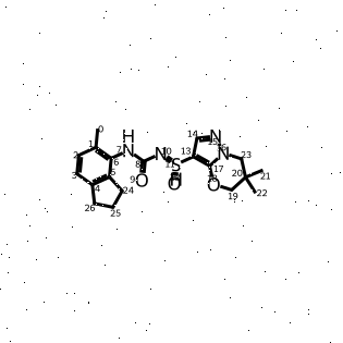 Cc1ccc2c(c1NC(=O)N=[SH](=O)c1cnn3c1OCC(C)(C)C3)CCC2